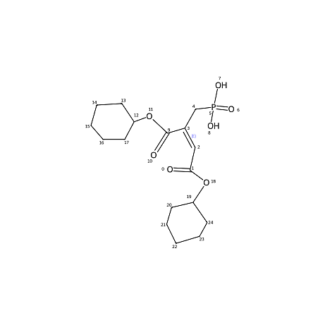 O=C(/C=C(/CP(=O)(O)O)C(=O)OC1CCCCC1)OC1CCCCC1